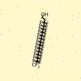 OCCC(F)(F)C(F)(F)C(F)(F)C(F)(F)C(F)(F)C(F)(F)C(F)(F)C(F)(F)C(F)(F)C(F)(F)C(F)(F)C(F)(F)C(F)(F)C(F)(F)F